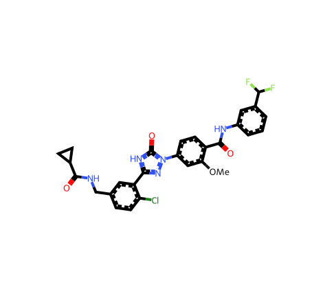 COc1cc(-n2nc(-c3cc(CNC(=O)C4CC4)ccc3Cl)[nH]c2=O)ccc1C(=O)Nc1cccc(C(F)F)c1